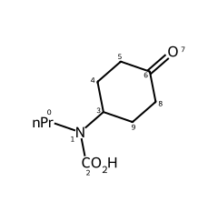 CCCN(C(=O)O)C1CCC(=O)CC1